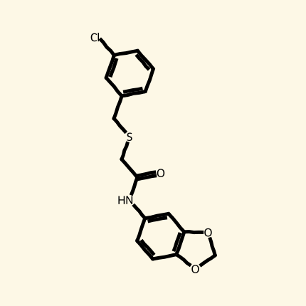 O=C(CSCc1cccc(Cl)c1)Nc1ccc2c(c1)OCO2